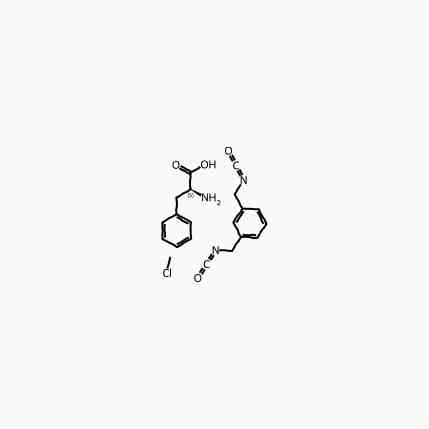 CCl.N[C@@H](Cc1ccccc1)C(=O)O.O=C=NCc1cccc(CN=C=O)c1